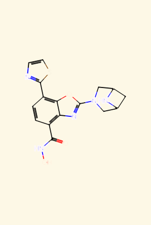 O=C(NO)c1ccc(-c2nccs2)c2oc(N3CC4CC(C3)N4)nc12